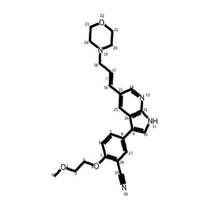 COCCOc1ccc(-c2c[nH]c3ncc(/C=C/CN4CCOCC4)cc23)cc1C#N